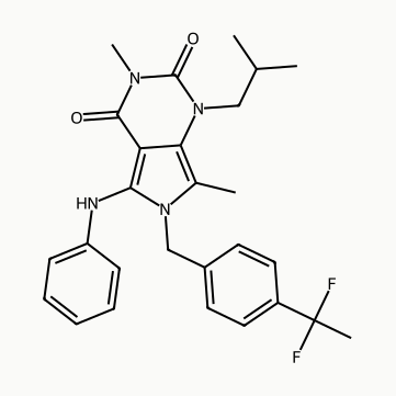 Cc1c2c(c(Nc3ccccc3)n1Cc1ccc(C(C)(F)F)cc1)c(=O)n(C)c(=O)n2CC(C)C